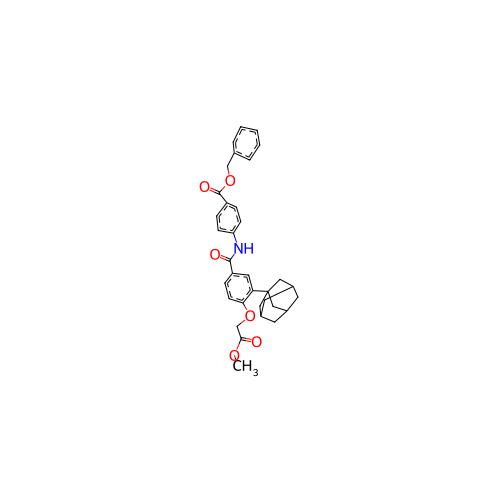 COC(=O)COc1ccc(C(=O)Nc2ccc(C(=O)OCc3ccccc3)cc2)cc1C12CC3CC(CC(C3)C1)C2